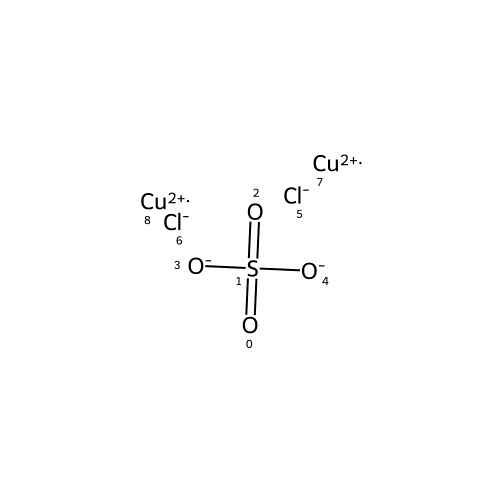 O=S(=O)([O-])[O-].[Cl-].[Cl-].[Cu+2].[Cu+2]